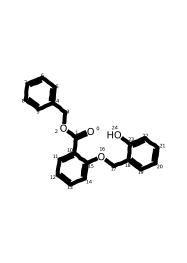 O=C(OCc1ccccc1)c1ccccc1OCc1ccccc1O